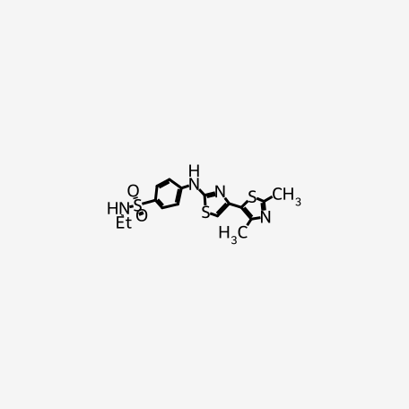 CCNS(=O)(=O)c1ccc(Nc2nc(-c3sc(C)nc3C)cs2)cc1